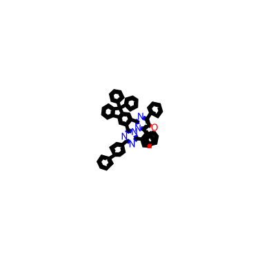 c1ccc(-c2ccc(-c3nc(-c4ccccc4)nc(-c4cc5c(cc4-c4nc(-c6ccccc6)c6oc7ccccc7c6n4)C(c4ccccc4)(c4ccccc4)c4ccccc4-5)n3)cc2)cc1